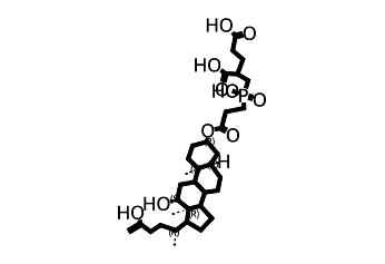 C=C(O)CC[C@@H](C)C1CCC2C3CC[C@@H]4C[C@H](OC(=O)CCP(=O)(O)CC(CCC(=O)O)C(=O)O)CC[C@]4(C)C3C[C@H](O)[C@@]21C